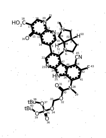 CN1C[C@@H]2CCN(c3c(-c4cnc5c(c4)c(=O)c(C(=O)O)cn5C)cnc4[nH]c5c(N(C)C(=O)OCOP(=O)(OC(C)(C)C)OC(C)(C)C)cc(F)c(C#N)c5c34)[C@@H]2C1